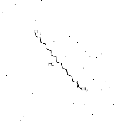 CC=NCCCCCCCCCCCCCCCC.Cl